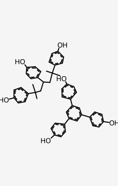 CC(C)(CC(CC(C)(C)c1ccc(O)cc1)c1ccc(O)cc1)c1ccc(O)cc1.Oc1ccc(-c2cc(-c3ccc(O)cc3)cc(-c3ccc(O)cc3)c2)cc1